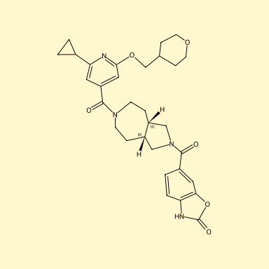 O=C(c1cc(OCC2CCOCC2)nc(C2CC2)c1)N1CC[C@@H]2CN(C(=O)c3ccc4[nH]c(=O)oc4c3)C[C@@H]2CC1